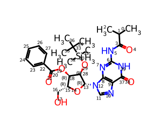 CC(C)C(=O)Nc1nc2c(ncn2[C@@H]2O[C@H](CO)[C@@H](OC(=O)c3ccccc3)[C@H]2O[Si](C)(C)C(C)(C)C)c(=O)[nH]1